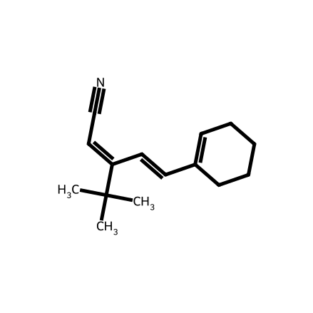 CC(C)(C)C(/C=C/C1=CCCCC1)=C/C#N